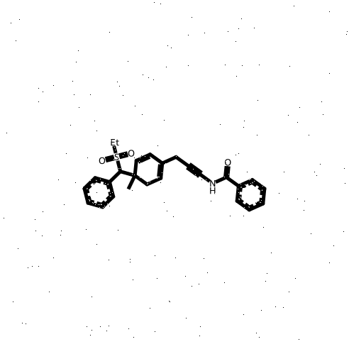 CCS(=O)(=O)C(c1ccccc1)C1(C)C=CC(CC#CNC(=O)c2ccccc2)=CC1